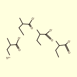 CCC(C)C(=O)[O-].CCC(C)C(=O)[O-].CCC(C)C(=O)[O-].CCC(C)C(=O)[O-].[Ti+4]